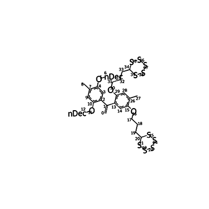 C=C(c1cc(OCCCCCCCCCC)c(C)cc1OCCCCCCCCCC)c1cc(OCCCC2SSSSS2)c(C)cc1OCCCC1SSSSS1